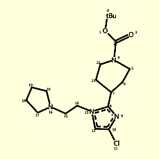 CC(C)(C)OC(=O)N1CCC(c2nc(Cl)cn2CCN2CCCC2)CC1